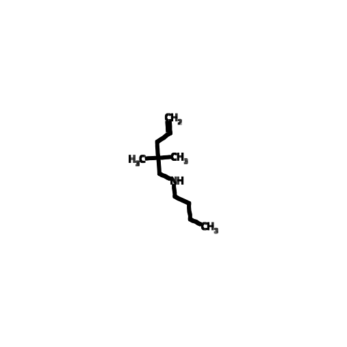 C=CCC(C)(C)CNCCCC